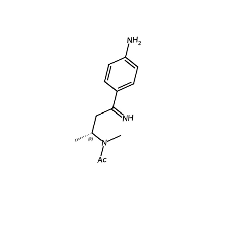 CC(=O)N(C)[C@H](C)CC(=N)c1ccc(N)cc1